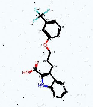 O=C(O)c1[nH]c2ccccc2c1CCCOc1cccc(C(F)(F)F)c1